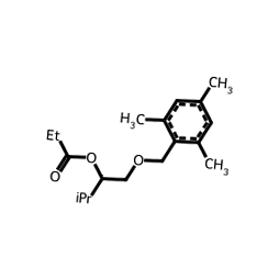 CCC(=O)O[C](COCc1c(C)cc(C)cc1C)C(C)C